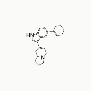 C1=C(c2ccc3[nH]cc(C4=CCN5CCCC5C4)c3c2)CCCC1